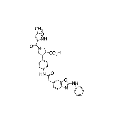 CC1C=C(C(=O)N2CC(C(=O)O)C(c3ccc(NC(=O)Cc4ccc5nc(Nc6ccccc6)oc5c4)cc3)C2)NO1